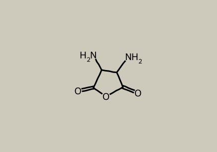 NC1C(=O)OC(=O)C1N